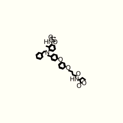 Cc1c(NS(C)(=O)=O)cccc1N(Cc1ccccc1)Cc1ccc(Oc2cccc(OCCCC(=O)NC3CCOC3=O)c2)cc1